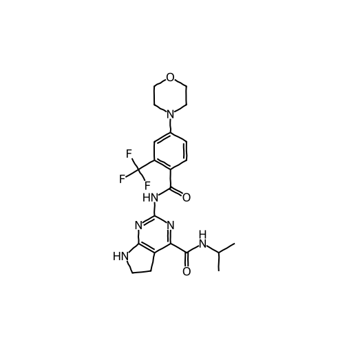 CC(C)NC(=O)c1nc(NC(=O)c2ccc(N3CCOCC3)cc2C(F)(F)F)nc2c1CCN2